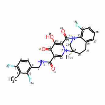 Cc1c(F)ccc(CNC(=O)c2cn3c(c(O)c2=O)C(=O)N2C[C@H]3CCc3cccc(F)c32)c1F